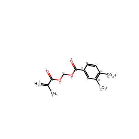 C=C(C)C(=O)OCOC(=O)c1ccc(C(=O)O)c(C(=O)O)c1